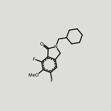 COc1c(F)cc2c(c1F)C(=O)N(CC1CCCCC1)C2